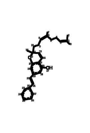 CC(C)=CCCC(C)=CCCC1(C)C=Cc2c(O)cc(/C=C/c3ccccc3)cc2O1